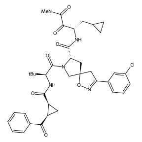 CNC(=O)C(=O)[C@H](CC1CC1)NC(=O)[C@@H]1C[C@]2(CC(c3cccc(Cl)c3)=NO2)CN1C(=O)[C@@H](NC(=O)[C@H]1C[C@H]1C(=O)c1ccccc1)C(C)(C)C